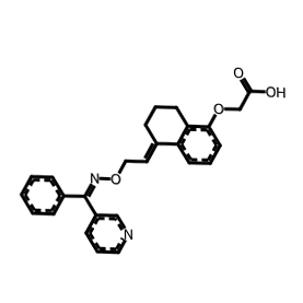 O=C(O)COc1cccc2c1CCCC2=CCON=C(c1ccccc1)c1cccnc1